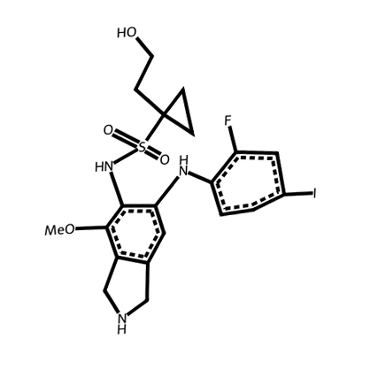 COc1c2c(cc(Nc3ccc(I)cc3F)c1NS(=O)(=O)C1(CCO)CC1)CNC2